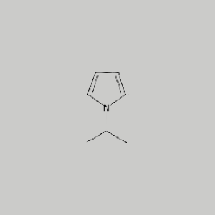 CC(C)n1[c]ccc1